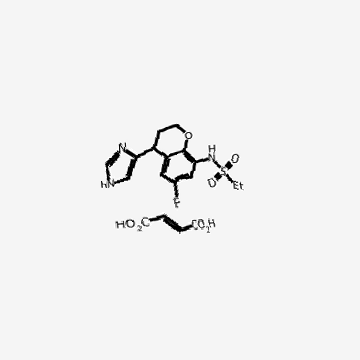 CCS(=O)(=O)Nc1cc(F)cc2c1OCCC2c1c[nH]cn1.O=C(O)C=CC(=O)O